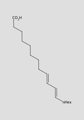 CCCCCCC=CC=CCCCCCCCC(=O)O